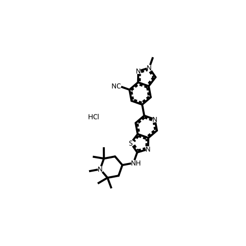 CN1C(C)(C)CC(Nc2nc3cnc(-c4cc(C#N)c5nn(C)cc5c4)cc3s2)CC1(C)C.Cl